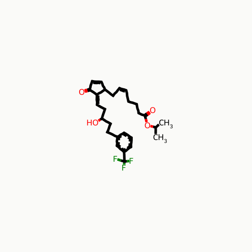 CC(C)OC(=O)CCC/C=C\CC1C=CC(=O)/C1=C/CC(O)CCc1cccc(C(F)(F)F)c1